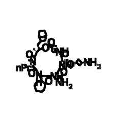 CCC[C@H]1C(=O)N[C@@H](C2CCCCCC2)C(=O)N[C@@H](CN)C(=O)N[C@@H](CO[C@H]2C[C@H](N)C2)C(=O)NCC(=O)O[C@H](CC2CC3CCC2C3)[C@@H](C)C(=O)N1C